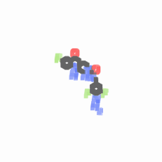 Nc1c(F)cc(CNC(=O)N2CCC3(CC2)CC(=O)c2cc(F)ccc2N3)cc1F